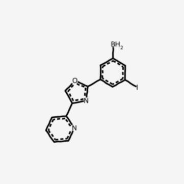 Bc1cc(I)cc(-c2nc(-c3ccccn3)co2)c1